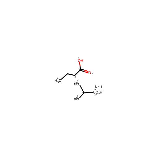 CCCC(=O)O.CCCC(CCC)C(=O)O.[NaH]